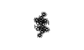 B1c2ccccc2N2c3cc(-c4ccccc4)ccc3B3c4ccccc4Cc4cc(-c5cc6c7c8c5Nc5ccccc5N8c5cc(C8=CC=CCC8)ccc5B7c5ccccc5O6)c1c2c43